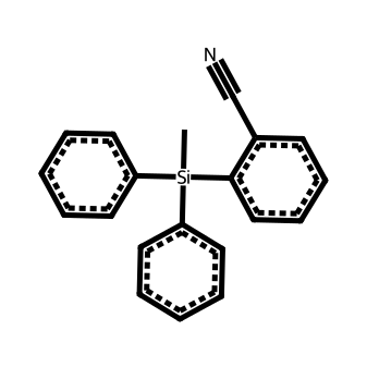 C[Si](c1ccccc1)(c1ccccc1)c1ccccc1C#N